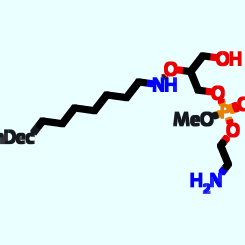 CCCCCCCCCCCCCCCCCNOC(CO)COP(=O)(OC)OCCN